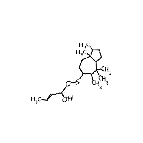 C/C=C/C(O)OSC1CC[C@]2(C)C(C)CCC2C(C)(C)[C@H]1C